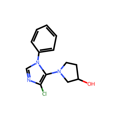 OC1CCN(c2c(Cl)ncn2-c2ccccc2)C1